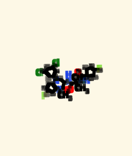 CN1C(=O)[C@H](NC(=O)C(C)(C)NC(=O)c2ccc(F)cc2)CN(c2cc(Cl)cc(Cl)c2)c2ccc(F)cc21